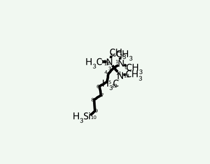 CN(C)C(CCCCCC[SiH3])(N(C)C)N(C)C